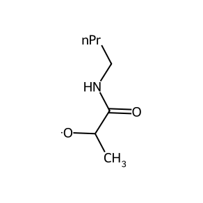 CCCCNC(=O)C(C)[O]